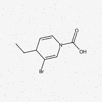 CCC1C=CN(C(=O)O)C=C1Br